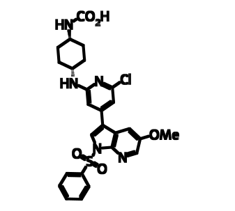 COc1cnc2c(c1)c(-c1cc(Cl)nc(N[C@H]3CC[C@H](NC(=O)O)CC3)c1)cn2S(=O)(=O)c1ccccc1